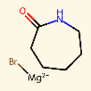 O=C1CCCCCN1.[Mg+2][Br]